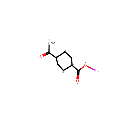 COC(=O)C1CCC(C(=O)OI)CC1